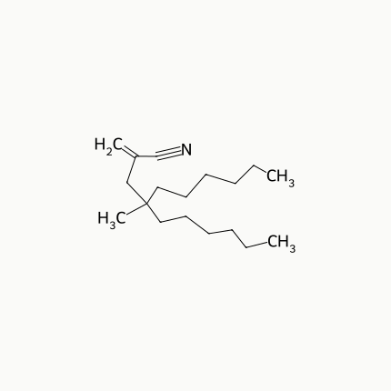 C=C(C#N)CC(C)(CCCCCC)CCCCCC